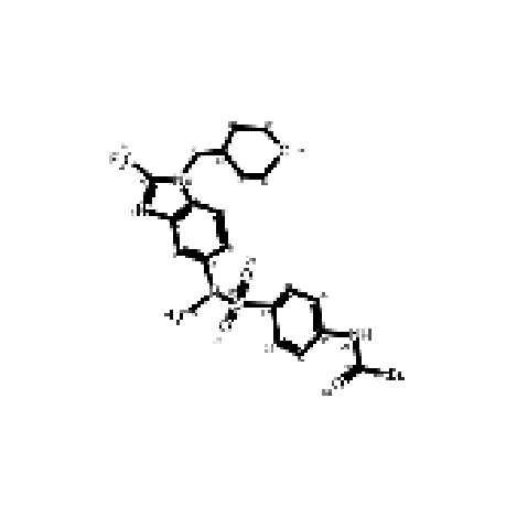 CN(c1ccc2c(c1)nc(C(F)(F)F)n2CC1CCOCC1)S(=O)(=O)c1ccc(NC(=O)C(C)(C)C)cc1